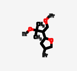 CCOC(C)(C)C(COC(C)C)C1CC(C(C)C)CO1